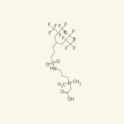 C[N+](C)(CCCNS(=O)(=O)CCCC(CC(F)(C(F)(F)F)C(F)(F)F)CC(F)(C(F)(F)F)C(F)(F)F)CC(=O)O